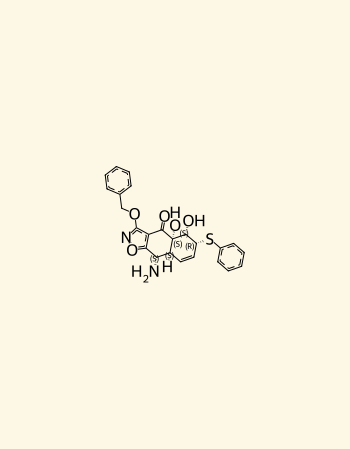 N[C@@H]1c2onc(OCc3ccccc3)c2C(=O)[C@@]2(O)[C@H](O)[C@H](Sc3ccccc3)C=C[C@@H]12